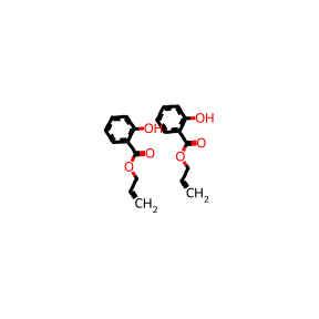 C=CCOC(=O)c1ccccc1O.C=CCOC(=O)c1ccccc1O